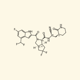 N#C[C@@H](C[C@@H]1CCCNC1=O)NC(=O)[C@H]1[C@H]2CC(F)(F)C[C@H]2CN1C(=O)c1cc2c(C(F)F)cc(F)cc2[nH]1